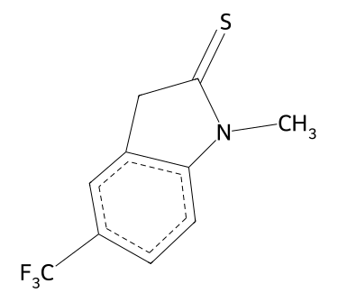 CN1C(=S)Cc2cc(C(F)(F)F)ccc21